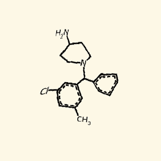 Cc1cc(Cl)cc(C(c2ccccc2)N2CCC(N)CC2)c1